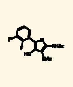 CC(=O)Nc1oc(-c2cccc(F)c2F)c(O)c1OC(C)=O